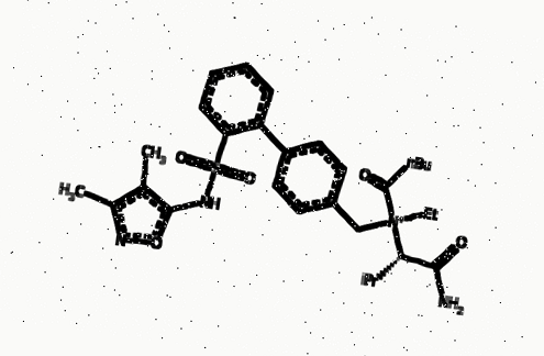 CCCCC(=O)[N+](CC)(Cc1ccc(-c2ccccc2S(=O)(=O)Nc2onc(C)c2C)cc1)[C@H](C(N)=O)C(C)C